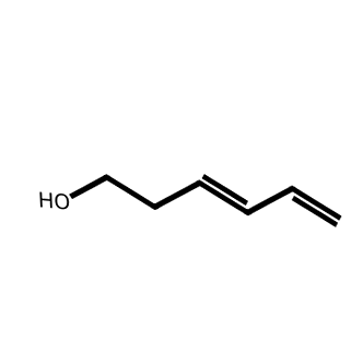 C=C/C=C/CCO